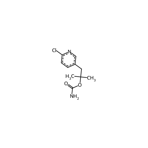 CC(C)(Cc1ccc(Cl)nc1)OC(N)=O